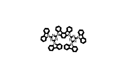 c1ccc2c(c1)c1ccccc1n2-c1nc(-n2c3ccccc3c3ccccc32)nc(-n2c3ccccc3c3c4c5ccccc5n(-c5nc(-n6c7ccccc7c7ccccc76)nc(-n6c7ccccc7c7ccccc76)n5)c4ccc32)n1